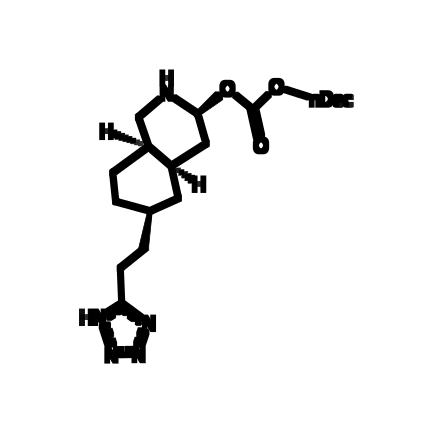 CCCCCCCCCCOC(=O)O[C@H]1C[C@H]2C[C@@H](CCc3nnn[nH]3)CC[C@H]2CN1